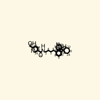 O=C(NCCCCc1cccc(C2([C@@H]3CN4CCC3CC4)CCCCC2)c1)c1ccc(CO)nc1